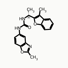 Cc1nc2cc(NC(=O)N[C@H](C)c3oc4ccccc4c3C)ccc2o1